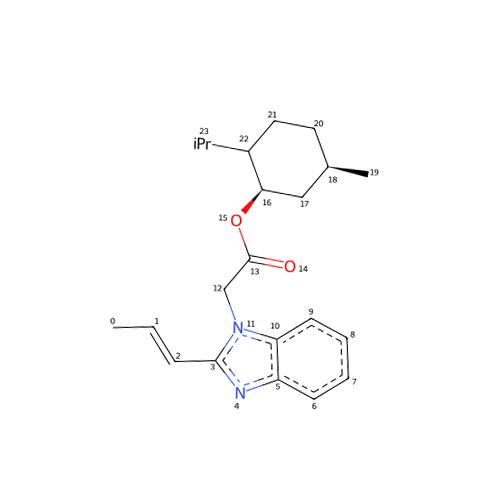 C/C=C/c1nc2ccccc2n1CC(=O)O[C@@H]1C[C@H](C)CCC1C(C)C